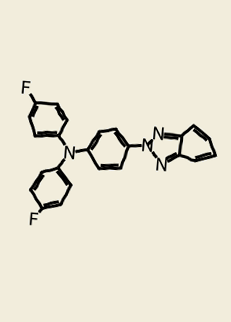 Fc1ccc(N(c2ccc(F)cc2)c2ccc(-n3nc4ccccc4n3)cc2)cc1